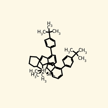 CC(C)(C)c1ccc(-c2cccc3c2C=C[CH]3[Hf]([CH3])([CH3])([CH3])(=[SiH2])([CH]2CCCCC2)[CH]2C=Cc3c(-c4ccc(C(C)(C)C)cc4)cccc32)cc1